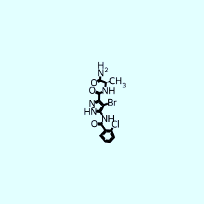 C[C@H](NC(=O)c1n[nH]c(NC(=O)c2ccccc2Cl)c1Br)C(N)=O